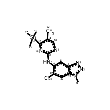 Cn1nnc2cc(Nc3ncc(C(F)(F)F)[c]([Sn]([CH3])([CH3])[CH3])n3)c(Cl)cc21